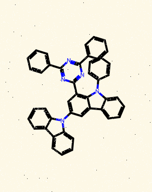 c1ccc(-c2nc(-c3ccccc3)nc(-c3cc(-n4c5ccccc5c5ccccc54)cc4c5ccccc5n(-c5ccccc5)c34)n2)cc1